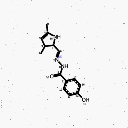 CC1=CC(C)C(/C=N/NC(=O)c2ccc(O)cc2)N1